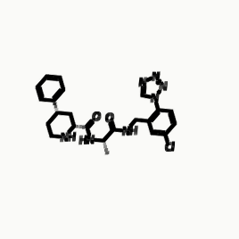 C[C@H](NC(=O)[C@H]1C[C@@H](c2ccccc2)CCN1)C(=O)NCc1cc(Cl)ccc1-n1cnnn1